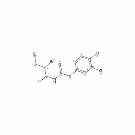 CC(NC(=O)Sc1ccc(Cl)c(Cl)c1)C(Br)CBr